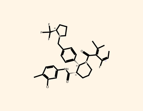 C/C=C(/F)C(C(=O)N1CCC[C@H](C(=O)Nc2ccc(C)c(Cl)c2)[C@@H]1c1ccc(CN2CCC[C@@H]2C(F)(F)F)cc1)=C(C)C